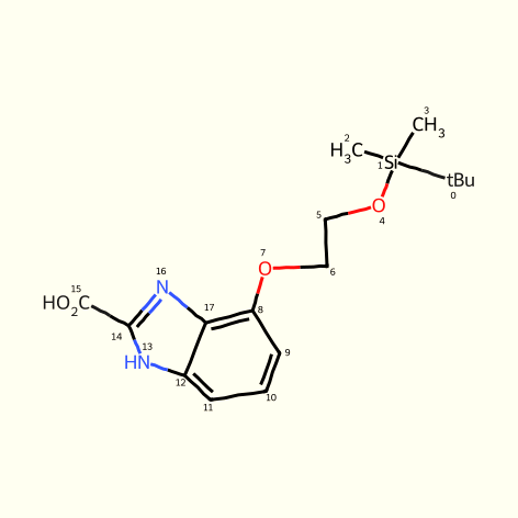 CC(C)(C)[Si](C)(C)OCCOc1cccc2[nH]c(C(=O)O)nc12